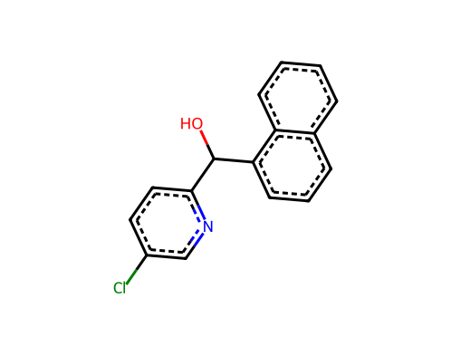 OC(c1ccc(Cl)cn1)c1cccc2ccccc12